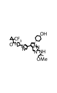 COC[C@H](C)Nc1ncc2c(-c3cnn(C4CN(C(=O)C5(C(F)(F)F)CC5)C4)c3)cc([C@H]3CC[C@H](O)CC3)n2n1